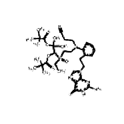 [CH2][CH]P(=O)(CCN(CCC#N)c1ccccc1CCn1cnc2c(=O)[nH]c(N)nc21)C(OC(=S)C(C)(C)C)C(O)(O)OC(=S)C(C)(C)C